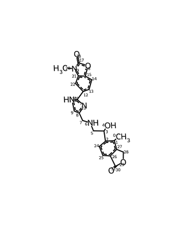 Cc1c(C(O)CNCc2c[nH]c(-c3ccc4oc(=O)n(C)c4c3)n2)ccc2c1COC2=O